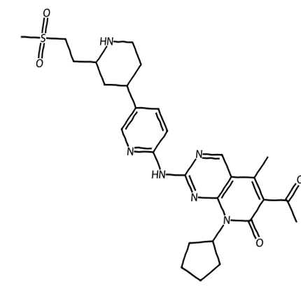 CC(=O)c1c(C)c2cnc(Nc3ccc(C4CCNC(CCS(C)(=O)=O)C4)cn3)nc2n(C2CCCC2)c1=O